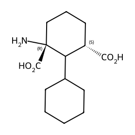 N[C@]1(C(=O)O)CCC[C@H](C(=O)O)C1C1CCCCC1